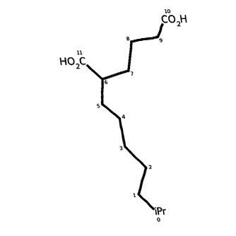 CC(C)CCCCCC(CCCC(=O)O)C(=O)O